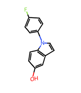 Oc1ccc2c(ccn2-c2ccc(F)cc2)c1